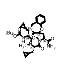 CN(C(=O)[C@H](CC1CC1)NC(=O)OC(C)(C)C)[C@@H](CC1CC1)C(=O)N1C[C@@]2(C[C@H]1C(N)=O)Oc1ccccc1CNC2=O